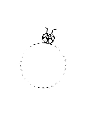 CCC1=CC2=CC(=C1)C21OCCOCCOCCOCCOCCCOCCOCCOCCOCCOCC12c1cc(CC)cc2c1